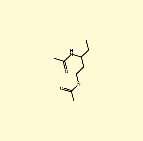 [CH2]CC(CCNC(C)=O)NC(C)=O